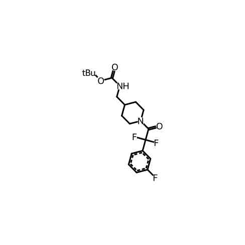 CC(C)(C)OC(=O)NCC1CCN(C(=O)C(F)(F)c2cccc(F)c2)CC1